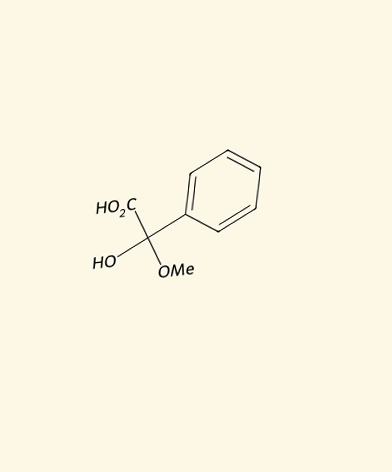 COC(O)(C(=O)O)c1ccccc1